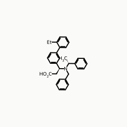 CCc1ccccc1-c1cccc([C@H](CC(=O)O)N(Cc2ccccc2)[C@H](C)c2ccccc2)c1